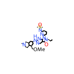 C=CCn1c(=O)c2cnc(Nc3cc(COC)c4c(c3)CN(C)CC4)nc2n1-c1cccc(N=S(C)(C)=O)n1